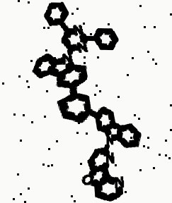 c1ccc(-c2cc(-n3c4ccccc4c4cc(-c5cccc(-c6ccc7c8ccccc8n(-c8ccc9oc%10cccnc%10c9n8)c7c6)c5)ccc43)nc(-c3ccccc3)n2)cc1